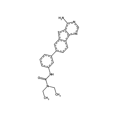 CCN(CC)C(=O)Nc1cccc(-c2ccc3c(c2)sc2c(N)ncnc23)c1